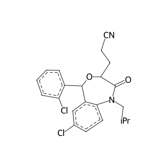 CC(C)CN1C(=O)C(CCC#N)OC(c2ccccc2Cl)c2cc(Cl)ccc21